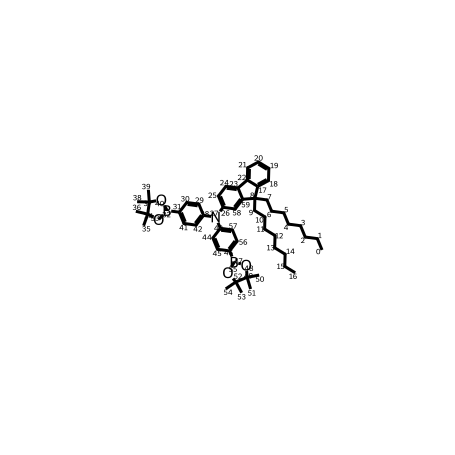 CCCCCCCCC1(CCCCCCCC)c2ccccc2-c2ccc(N(c3ccc(B4OC(C)(C)C(C)(C)O4)cc3)c3ccc(B4OC(C)(C)C(C)(C)O4)cc3)cc21